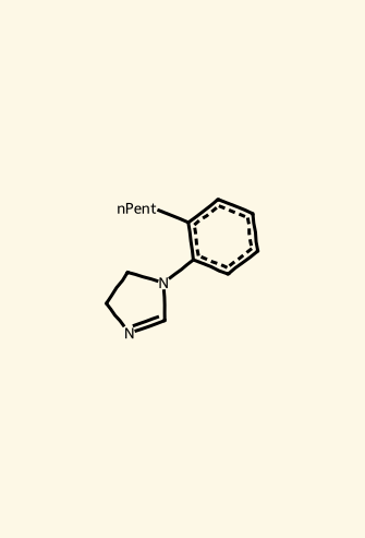 CCCCCc1ccccc1N1C=NCC1